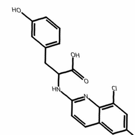 O=C(O)C(Cc1cccc(O)c1)Nc1ccc2cc(Cl)cc(Cl)c2n1